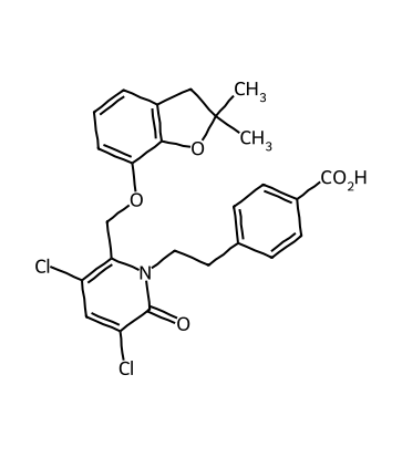 CC1(C)Cc2cccc(OCc3c(Cl)cc(Cl)c(=O)n3CCc3ccc(C(=O)O)cc3)c2O1